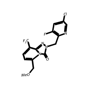 COCc1ccc(C(F)(F)F)c2nn(Cc3ncc(Cl)cc3F)c(=O)n12